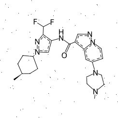 CN1CCN(c2ccn3ncc(C(=O)Nc4cn([C@H]5CC[C@H](C)CC5)nc4C(F)F)c3c2)CC1